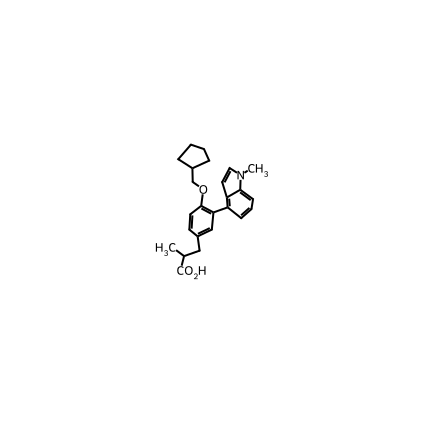 CC(Cc1ccc(OCC2CCCC2)c(-c2cccc3c2ccn3C)c1)C(=O)O